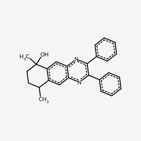 CC1CCC(C)(O)c2cc3nc(-c4ccccc4)c(-c4ccccc4)nc3cc21